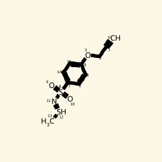 C#CCOc1ccc(S(=O)(=O)N=[SH]C)cc1